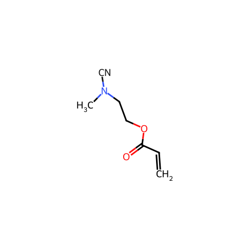 C=CC(=O)OCCN(C)C#N